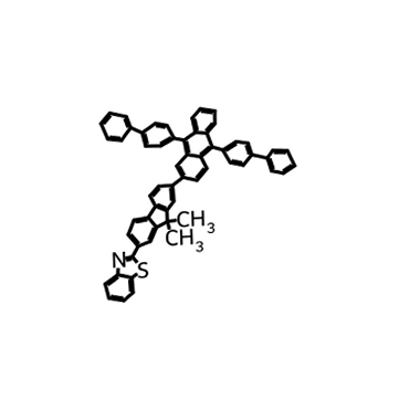 CC1(C)c2cc(-c3ccc4c(-c5ccc(-c6ccccc6)cc5)c5ccccc5c(-c5ccc(-c6ccccc6)cc5)c4c3)ccc2-c2ccc(-c3nc4ccccc4s3)cc21